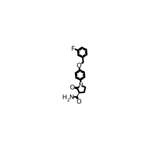 NC(=O)[C@@H]1CCN(c2ccc(OCc3cccc(F)c3)cc2)C1=O